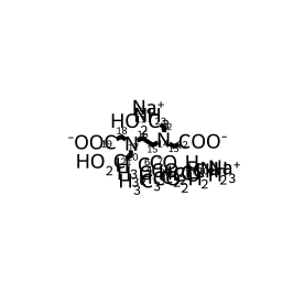 C=C.CC(=O)O.CC(=O)O.CC(=O)O.CC(=O)O.N.N.O=C([O-])CN(CCN(CC(=O)[O-])CC(=O)O)CC(=O)O.[Na+].[Na+]